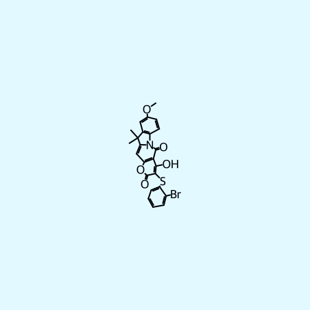 COc1ccc2c(c1)C(C)(C)c1cc3oc(=O)c(Sc4ccccc4Br)c(O)c3c(=O)n1-2